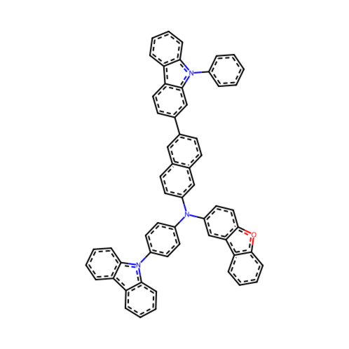 c1ccc(-n2c3ccccc3c3ccc(-c4ccc5cc(N(c6ccc(-n7c8ccccc8c8ccccc87)cc6)c6ccc7oc8ccccc8c7c6)ccc5c4)cc32)cc1